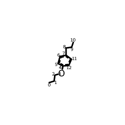 CCCOc1ccc(CCC)cc1